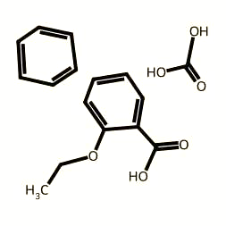 CCOc1ccccc1C(=O)O.O=C(O)O.c1ccccc1